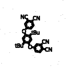 CC(C)(C)c1cc(Oc2ccc(C#N)c(C#N)c2)c(C(C)(C)C)cc1Oc1ccc(C#N)c(C#N)c1